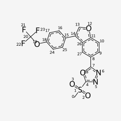 CS(=O)(=O)c1nnc(-c2ccc3occ(-c4ccc(OC(F)(F)F)cc4)c3c2)o1